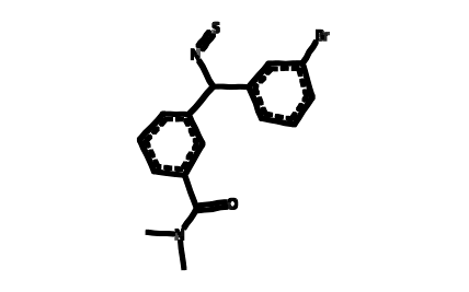 CN(C)C(=O)c1cccc(C(N=S)c2cccc(Br)c2)c1